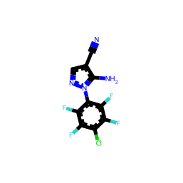 N#Cc1cnn(-c2c(F)c(F)c(Cl)c(F)c2F)c1N